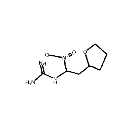 N=C(N)NC(CC1CCCO1)[N+](=O)[O-]